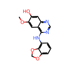 COc1cc2c(Nc3cccc4c3OCO4)ncnc2cc1O